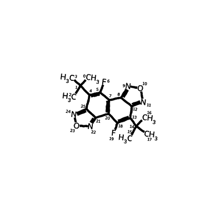 CC(C)(C)c1c(F)c2c3nonc3c(C(C)(C)C)c(F)c2c2nonc12